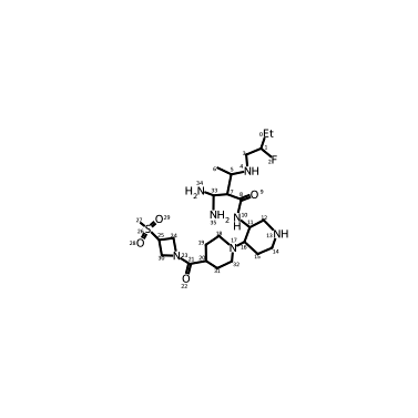 CCC(F)CNC(C)C(C(=O)NC1CNCCC1N1CCC(C(=O)N2CC(S(C)(=O)=O)C2)CC1)C(N)N